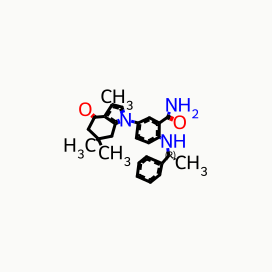 Cc1cn(-c2ccc(N[C@H](C)c3ccccc3)c(C(N)=O)c2)c2c1C(=O)CC(C)(C)C2